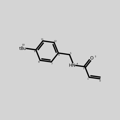 C=CC(=O)NCc1ccc(C(C)(C)C)cc1